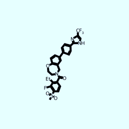 CCc1c(C(=O)N2CCOc3ccc(-c4ccc(-c5nc(C(F)(F)F)c[nH]5)cc4)cc3C2)ccc(S(C)(=O)=O)c1F